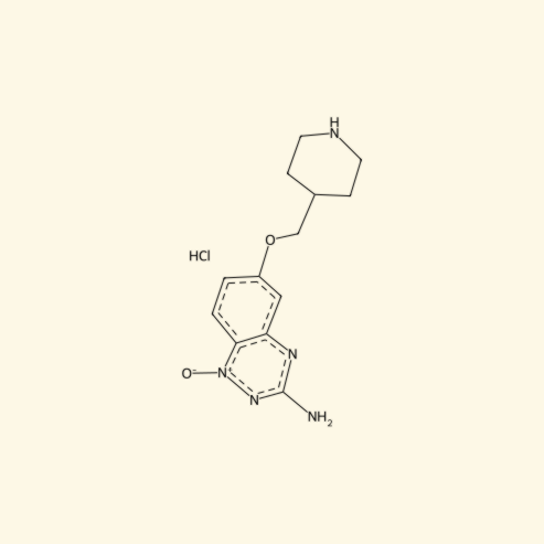 Cl.Nc1nc2cc(OCC3CCNCC3)ccc2[n+]([O-])n1